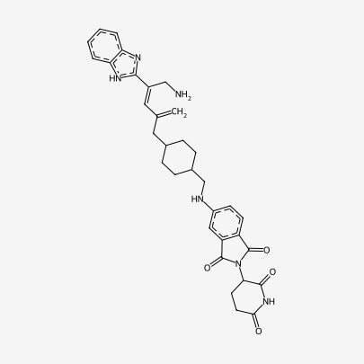 C=C(/C=C(\CN)c1nc2ccccc2[nH]1)CC1CCC(CNc2ccc3c(c2)C(=O)N(C2CCC(=O)NC2=O)C3=O)CC1